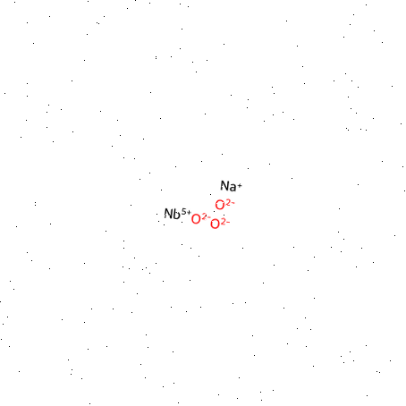 [Na+].[Nb+5].[O-2].[O-2].[O-2]